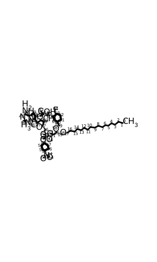 CCCCCCCCCCCCCCCCCCOC[C@H](COP(=O)(OC[C@@H]1C[C@@H](OC(C)(C)O)[C@](C)(c2ccc3c(N)ncnn23)O1)Oc1ccc([N+](=O)[O-])cc1)OCc1ccc(F)c(F)c1